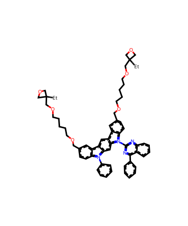 CCC1(COCCCCCOCc2ccc3c(c2)c2cc4c5cc(COCCCCCOCC6(CC)COC6)ccc5n(-c5nc(-c6ccccc6)c6ccccc6n5)c4cc2n3-c2ccccc2)COC1